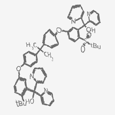 CC(C)(C)c1ccc(Oc2ccc(C(C)(C)c3ccc(Oc4ccc(S(=O)(=O)C(C)(C)C)c(C(O)(c5ccccn5)c5ccccn5)c4)cc3)cc2)cc1C(O)(c1ccccn1)c1ccccn1